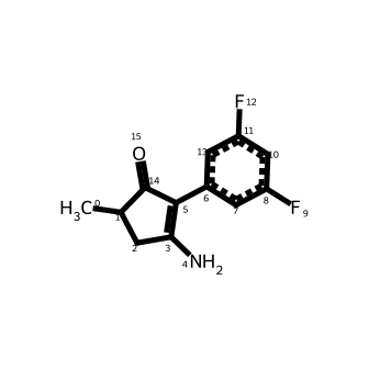 CC1CC(N)=C(c2cc(F)cc(F)c2)C1=O